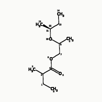 CCC(C)C(=O)OCC(C)O[C@@H](C)CC